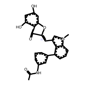 CC(=O)Nc1cccc(-c2cccc3c2c(/C=C2\Oc4cc(O)cc(O)c4C2=O)cn3C)c1